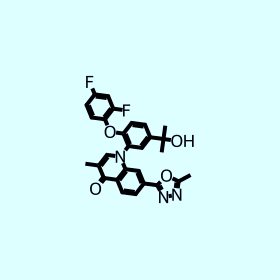 Cc1nnc(-c2ccc3c(=O)c(C)cn(-c4cc(C(C)(C)O)ccc4Oc4ccc(F)cc4F)c3c2)o1